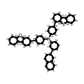 c1cc(-c2ccc3ccccc3c2)cc(N(c2ccc(-c3ccc4c(c3)oc3ccccc34)cc2)c2ccc(-c3cccc4c3sc3ccccc34)cc2)c1